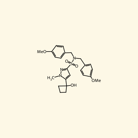 COc1ccc(CN(Cc2ccc(OC)cc2)S(=O)(=O)c2cc(C3(O)CCC3)n(C)n2)cc1